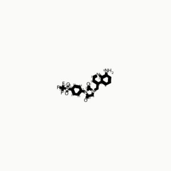 Nc1cccc2c(CN3CC(=O)N(c4ccc(S(=O)(=O)C(F)(F)F)cc4)C3=O)ccnc12